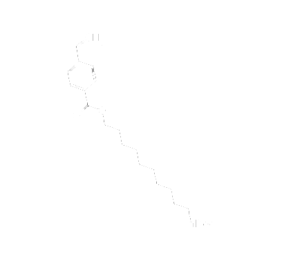 C=Cc1ccc(C(=O)OCCCCCCCCCCCCCCCCCCCC)cc1